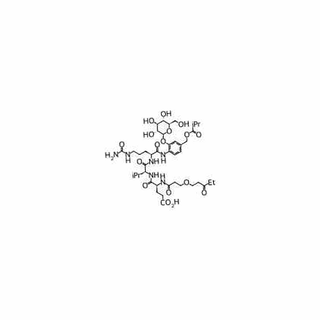 CCC(=O)CCOCCC(=O)N[C@@H](CCC(=O)O)C(=O)N[C@H](C(=O)N[C@@H](CCCNC(N)=O)C(=O)Nc1ccc(COC(=O)C(C)C)cc1O[C@@H]1O[C@H](CO)[C@@H](O)[C@H](O)[C@H]1O)C(C)C